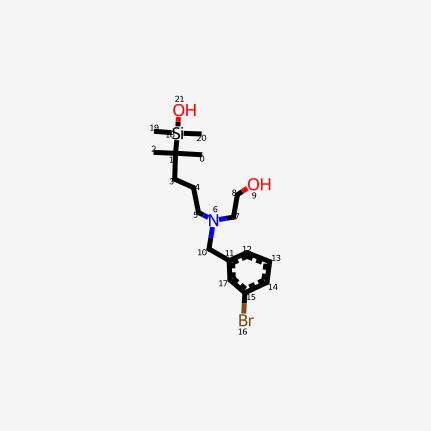 CC(C)(CCCN(CCO)Cc1cccc(Br)c1)[Si](C)(C)O